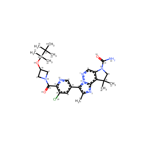 Cc1nc2c3c(cnn2c1-c1cnc(C(=O)N2CC(O[Si](C)(C)C(C)(C)C)C2)c(Cl)c1)N(C(N)=O)CC3(C)C